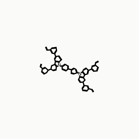 C=CC1=CC(C2C=Cc3c(c4cc(-c5cccc(C=C)c5)ccc4n3-c3ccc(-c4ccc(-n5c6c(c7cc(-c8cccc(C=C)c8)ccc75)CC(c5cccc(C=C)c5)C=C6)cc4)cc3)C2)CC=C1